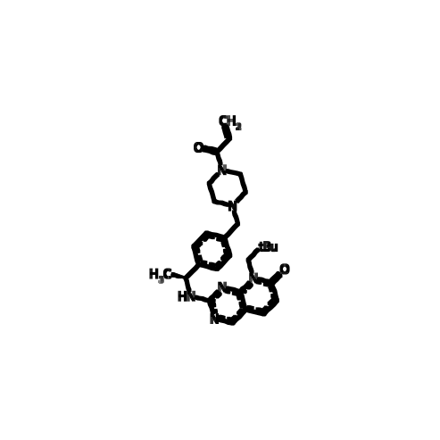 C=CC(=O)N1CCN(Cc2ccc([C@H](C)Nc3ncc4ccc(=O)n(CC(C)(C)C)c4n3)cc2)CC1